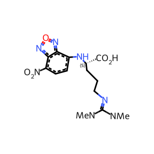 CNC(=NCCC[C@H](Nc1ccc([N+](=O)[O-])c2nonc12)C(=O)O)NC